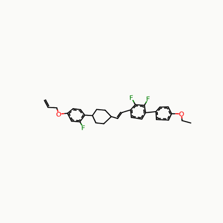 C=CCOc1ccc(C2CCC(/C=C/c3ccc(-c4ccc(OCC)cc4)c(F)c3F)CC2)c(F)c1